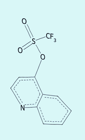 O=S(=O)(Oc1ccnc2ccccc12)C(F)(F)F